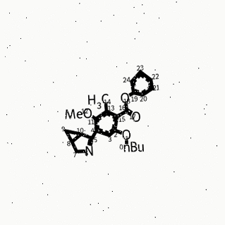 CCCCOc1cc(C2=NCC3CC23)c(OC)c(C)c1C(=O)Oc1ccccc1